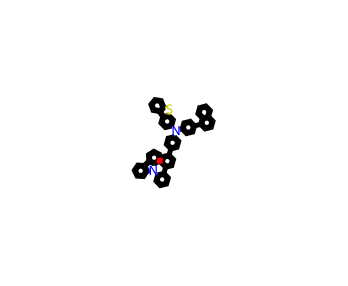 c1ccc(-n2c3ccccc3c3ccccc32)c(-c2ccc(-c3ccc(N(c4ccc(-c5cccc6ccccc56)cc4)c4ccc5c(c4)sc4ccccc45)cc3)cc2)c1